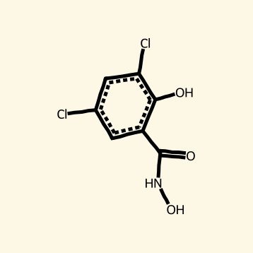 O=C(NO)c1cc(Cl)cc(Cl)c1O